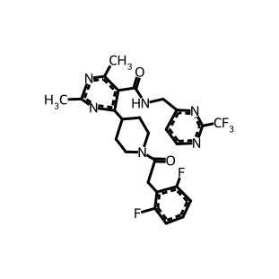 Cc1nc(C)c(C(=O)NCc2ccnc(C(F)(F)F)n2)c(C2CCN(C(=O)Cc3c(F)cccc3F)CC2)n1